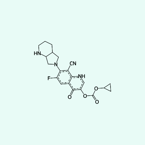 N#Cc1c(N2CC3CCCNC3C2)c(F)cc2c(=O)c(OC(=O)OC3CC3)c[nH]c12